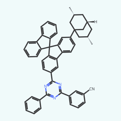 C[C@@H]1C[C@@H]2C[C@H](C)CC(c3ccc4c(c3)C3(c5ccccc5-c5ccccc53)c3ccc(-c5nc(-c6ccccc6)nc(-c6cccc(C#N)c6)n5)cc3-4)(C1)C2